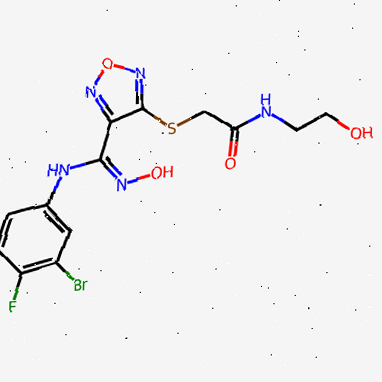 O=C(CSc1nonc1C(=NO)Nc1ccc(F)c(Br)c1)NCCO